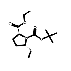 CCOC(=O)[C@H]1CC[C@@H](CC)N1C(=O)OC(C)(C)C